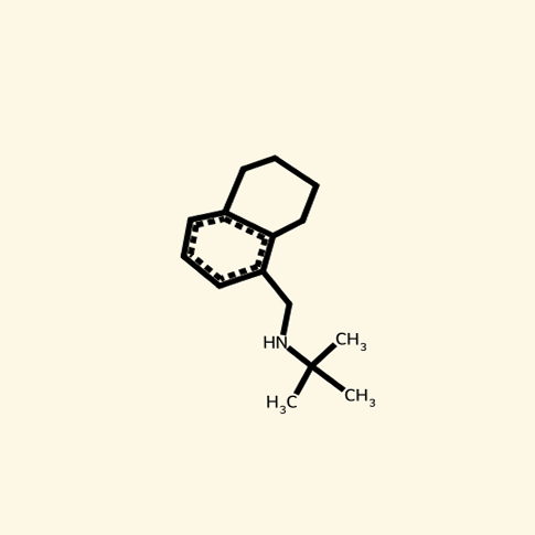 CC(C)(C)NCc1cccc2c1CCCC2